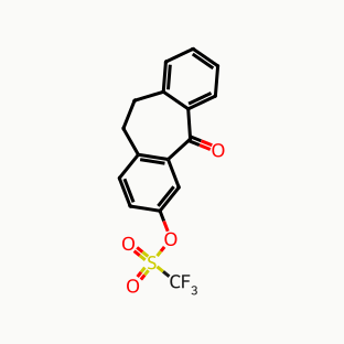 O=C1c2ccccc2CCc2ccc(OS(=O)(=O)C(F)(F)F)cc21